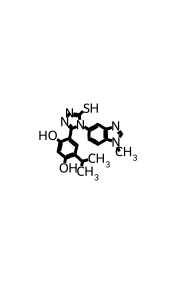 CC(C)c1cc(-c2nnc(S)n2-c2ccc3c(c2)ncn3C)c(O)cc1O